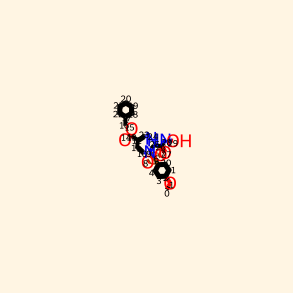 COc1ccc(S(=O)(=O)N2C=CC(C(=O)OCc3ccccc3)=CN=C2C(=O)NO)cc1